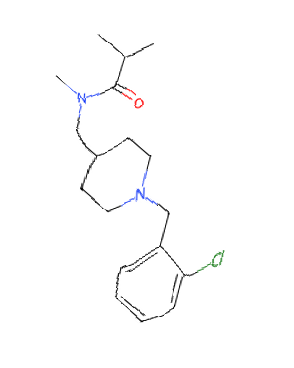 CC(C)C(=O)N(C)CC1CCN(Cc2ccccc2Cl)CC1